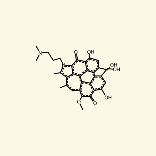 COc1c(=O)c2c(O)cc(CO)c3c4c(CO)cc(O)c5c(=O)c6c7c(c(C)cc1c(c23)c7c54)c(C)n6CCCN(C)C